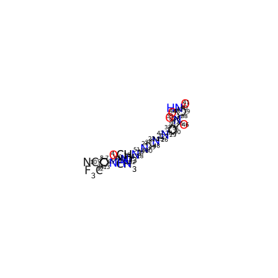 CC(C)(C(=O)Nc1ccc(C#N)c(C(F)(F)F)c1)n1cc(N2CC(N3CC4CN(C5CN(c6ccc7c(c6)C(=O)N(C6CCC(=O)NC6=O)C7=O)C5)CC4C3)C2)cn1